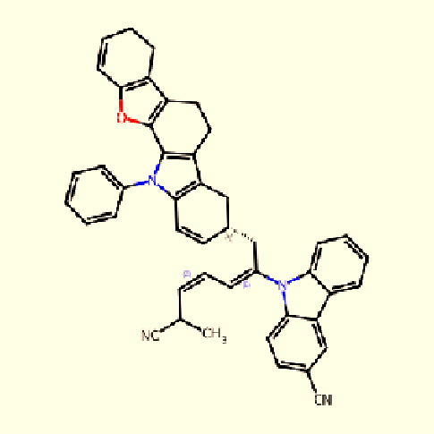 CC(C#N)/C=C\C=C(/C[C@@H]1C=Cc2c(c3c(n2-c2ccccc2)-c2oc4c(c2CC3)CCC=C4)C1)n1c2ccccc2c2cc(C#N)ccc21